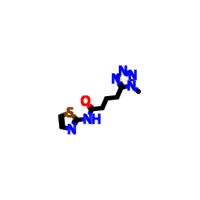 Cn1nnnc1CCCC(=O)Nc1nccs1